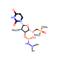 CO[C@@H]1[C@H](OP(O)NN(C(C)C)C(C)C)[C@@H](OCP(=O)(OC)OC)O[C@H]1n1ccc(=O)[nH]c1=O